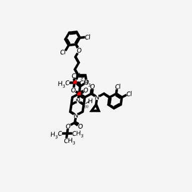 CC(C)(C)OC(=O)N1CC2CC(c3nc(CCCOc4c(Cl)cccc4Cl)co3)=C(C(=O)N(Cc3cccc(Cl)c3Cl)C3CC3)[C@@H](C1)N2C(=O)OC(C)(C)C